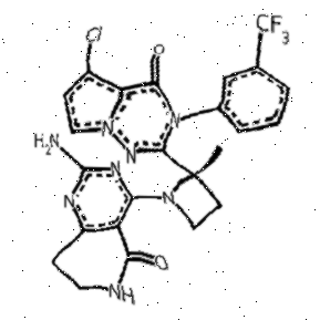 C[C@@]1(c2nn3ccc(Cl)c3c(=O)n2-c2cccc(C(F)(F)F)c2)CCN1c1nc(N)nc2c1C(=O)NCC2